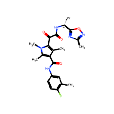 Cc1noc([C@H](NC(=O)C(=O)c2c(C)c(C(=O)Nc3ccc(F)c(C)c3)c(C)n2C)C(C)C)n1